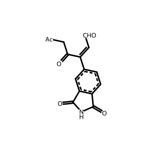 CC(=O)CC(=O)C(=CC=O)c1ccc2c(c1)C(=O)NC2=O